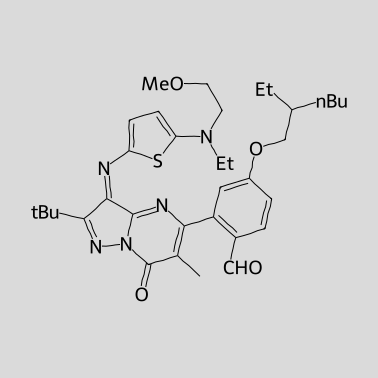 CCCCC(CC)COc1ccc(C=O)c(-c2nc3n(c(=O)c2C)N=C(C(C)(C)C)/C3=N/c2ccc(N(CC)CCOC)s2)c1